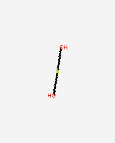 OCCCCCCCCCCCCCCCCSSCCCCCCCCCCCCCCCCO